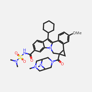 COc1ccc2c(c1)C1CC1(C(=O)N1CC3CN(C)CC(C1)N3C)Cn1c-2c(C2CCCCC2)c2ccc(C(=O)NS(=O)(=O)N(C)C)cc21